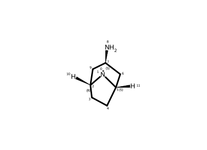 CN1[C@@H]2CC[C@H]1C[C@H](N)C2